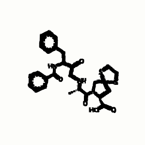 C[C@H](NCC(=O)C(Cc1ccccc1)NC(=O)c1ccccc1)C(=O)N1CC2(C[C@H]1C(=O)O)SCCS2